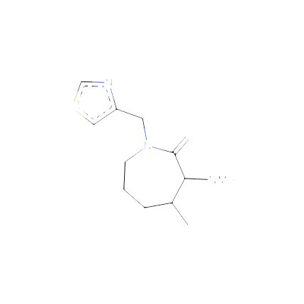 CNC1C(=O)N(Cc2cscn2)CCCC1C